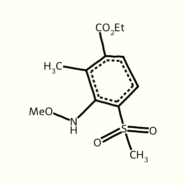 CCOC(=O)c1ccc(S(C)(=O)=O)c(NOC)c1C